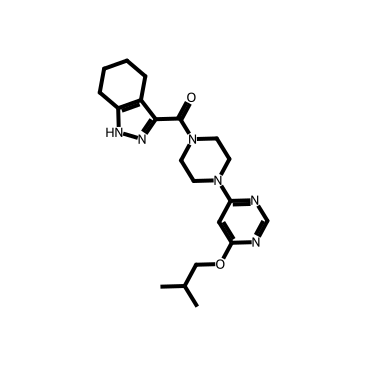 CC(C)COc1cc(N2CCN(C(=O)c3n[nH]c4c3CCCC4)CC2)ncn1